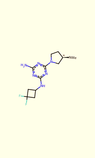 CN[C@@H]1CCN(c2nc(N)nc(NC3CC(F)(F)C3)n2)C1